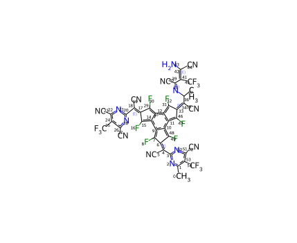 Cc1nc(/C(C#N)=C2/C(F)=c3c(c4c(c5c3=C(F)/C(=C(/C#N)c3nc(C#N)c(C(F)(F)F)c(C#N)n3)C=5F)=C(F)/C(=C(/C#N)C(C)/N=C(C#N)\C(=C(/N)C#N)C(F)(F)F)C=4F)=C2F)nc(C#N)c1C(F)(F)F